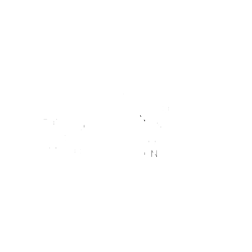 N#Cc1ccc(OS(=O)(=O)C(F)(F)F)c2c1N(S(=O)(=O)c1ccccc1)CC=C2